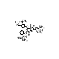 CCC(NC(=N)N)C1N=C2NC(Oc3ccccc3NC(=N)N)=NC(Oc3ccc(C#N)c(N(C)C)c3)=C2NC1=O